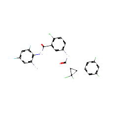 Nc1cc(F)cc(F)c1NC(=O)c1cc(NC(=O)[C@H]2[C@H](c3cc(Cl)cc(Cl)c3)C2(Cl)Cl)ccc1Cl